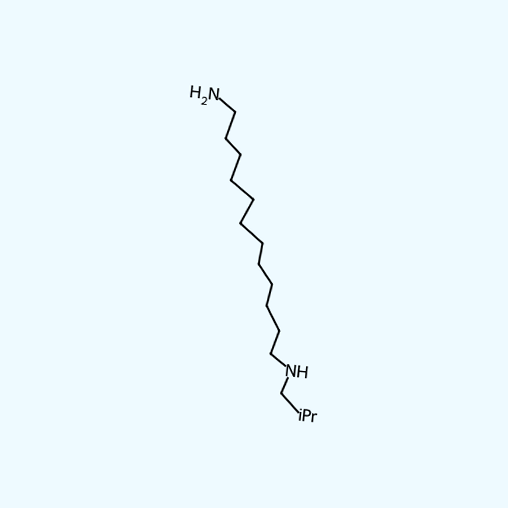 CC(C)CNCCCCCCCCCCCCN